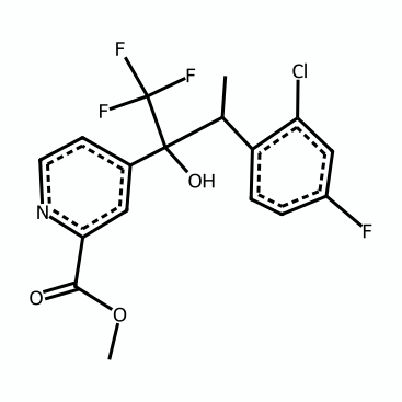 COC(=O)c1cc(C(O)(C(C)c2ccc(F)cc2Cl)C(F)(F)F)ccn1